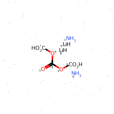 N.N.O=C(O)OC(=O)OC(=O)O.[LiH].[LiH]